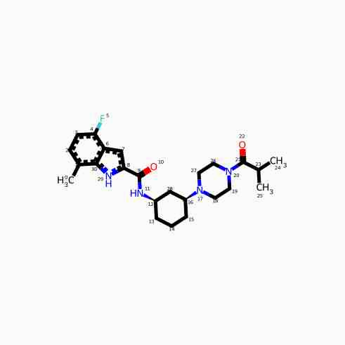 Cc1ccc(F)c2cc(C(=O)N[C@@H]3CCC[C@H](N4CCN(C(=O)C(C)C)CC4)C3)[nH]c12